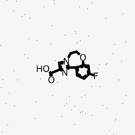 O=C(O)c1cn2c(n1)-c1ccc(F)cc1OCC2